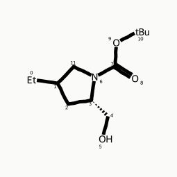 CCC1C[C@@H](CO)N(C(=O)OC(C)(C)C)C1